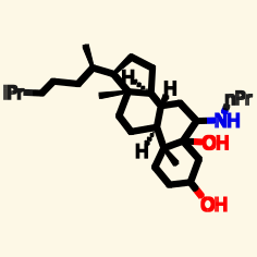 CCCNC1C[C@H]2[C@@H]3CC[C@H]([C@H](C)CCCC(C)C)[C@@]3(C)CC[C@@H]2[C@@]2(C)CCC(O)CC12O